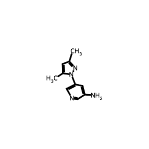 Cc1cc(C)n(-c2cncc(N)c2)n1